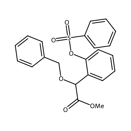 COC(=O)C(OCc1ccccc1)c1ccccc1OS(=O)(=O)c1ccccc1